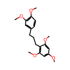 COc1cc(OC)c(CCCc2ccc(OC)c(OC)c2)c(OC)c1